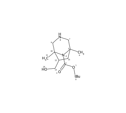 CC(C)(C)OC(=O)N1C2(C)CNCC1(C)C(CO)C2